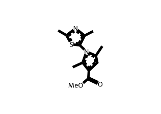 COC(=O)c1cc(C)n(-c2sc(C)nc2C)c1C